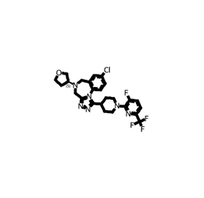 Fc1ccc(C(F)(F)F)nc1N1CCC(c2nnc3n2-c2ccc(Cl)cc2CN([C@H]2CCOC2)C3)CC1